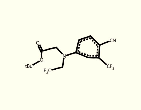 CC(C)(C)OC(=O)CN(CC(F)(F)F)c1ccc(C#N)c(C(F)(F)F)c1